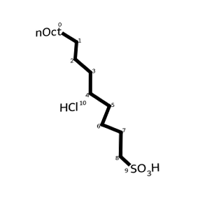 CCCCCCCCCCCCCCCCS(=O)(=O)O.Cl